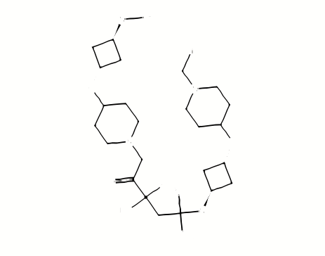 CC(C)CN1CCC(O[C@H]2C[C@H](NC(C)(C)CC(C)(C)C(=O)CN3CCC(O[C@H]4C[C@H](NC(C)C)C4)CC3)C2)CC1